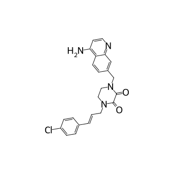 Nc1ccnc2cc(CN3CCN(CC=Cc4ccc(Cl)cc4)C(=O)C3=O)ccc12